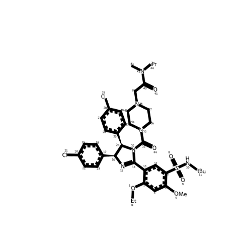 CCOc1cc(OC)c(S(=O)(=O)NC(C)(C)C)cc1C1=N[C@@H](c2ccc(Cl)cc2)[C@@H](c2ccc(Cl)cc2)N1C(=O)N1CCN(CC(=O)N(C)C(C)C)CC1